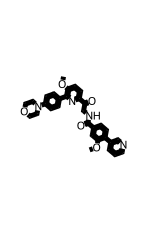 COc1cc(C(=O)NCC(=O)c2ccc(OC)c(-c3ccc(N4CCOCC4)cc3)n2)ccc1-c1cccnc1